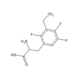 CCc1c(F)c(F)cc(CC(N)C(=O)O)c1F